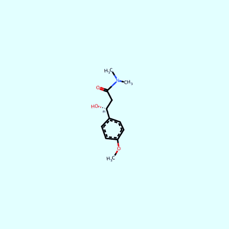 COc1ccc([C@H](O)CC(=O)N(C)C)cc1